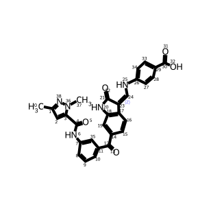 Cc1cc(C(=O)Nc2cccc(C(=O)c3ccc4c(c3)NC(=O)/C4=C\Nc3ccc(C(=O)O)cc3)c2)n(C)n1